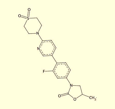 [CH2]C1CN(c2ccc(-c3ccc(N4CCS(=O)(=O)CC4)nc3)c(F)c2)C(=O)O1